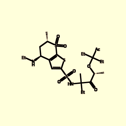 CCN[C@H]1C[C@H](C)S(=O)(=O)c2sc(S(=O)(=O)NC(C)(CC)C(=O)[C@@H](C)OC(CC)(CC)C(C)=O)cc21